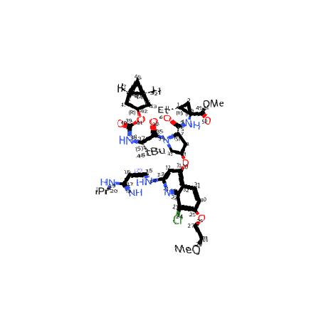 CC[C@@H]1C[C@]1(NC(=O)[C@@H]1CC(Oc2cc(N/C=C\C(=N)NC(C)C)nc3c(Cl)c(OCCOC)ccc23)CN1C(=O)[C@@H](NC(=O)O[C@@H]1C[C@@H]2C[C@@H]2C1)C(C)(C)C)C(=O)OC